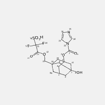 O=C(OC12CC3CC(O)(CC(COC(=O)C(F)(F)S(=O)(=O)O)(C3)C1)C2)n1ccnc1